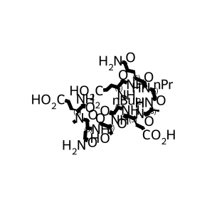 CCCC[C@H](NC(=O)[C@H](CCC(=O)O)NC(=O)[C@H](C)NC(=O)[C@H](CCC)NC(=O)[C@H](CCC(N)=O)NC(=O)[C@@H](N)CCC(=O)O)C(=O)N[C@@H](CO)C(=O)N[C@@H](CC(N)=O)C(=O)N(C)[C@@H](CCC(=O)O)C(N)=O